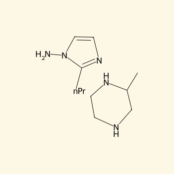 CC1CNCCN1.CCCc1nccn1N